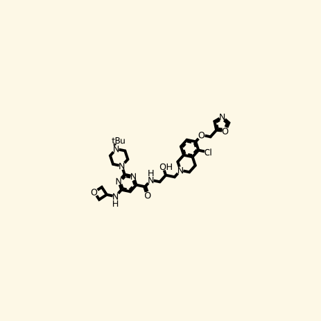 CC(C)(C)N1CCN(c2nc(NC3COC3)cc(C(=O)NCC(O)CN3CCc4c(ccc(OCc5cnco5)c4Cl)C3)n2)CC1